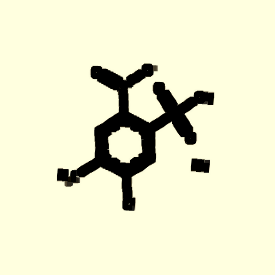 Cc1cc([N+](=O)[O-])c(S(=O)(=O)O)cc1Cl.[KH]